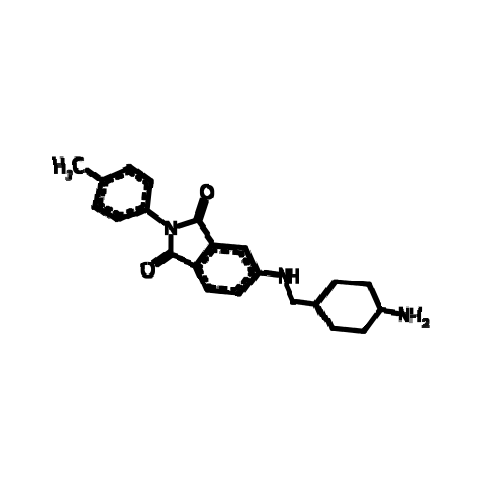 Cc1ccc(N2C(=O)c3ccc(NCC4CCC(N)CC4)cc3C2=O)cc1